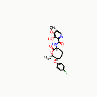 COc1ccnc(C(=O)N[C@H]2CCCC[C@@H](Oc3ccc(F)cc3)[C@H](C)OC2=O)c1O